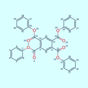 O=C(Oc1ccccc1)c1cc(C(=O)Oc2ccccc2)c(C(=O)Oc2ccccc2)cc1C(=O)Oc1ccccc1